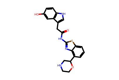 O=C(Cc1c[nH]c2ccc(O)cc12)Nc1nc2c(C3CNCCO3)cccc2s1